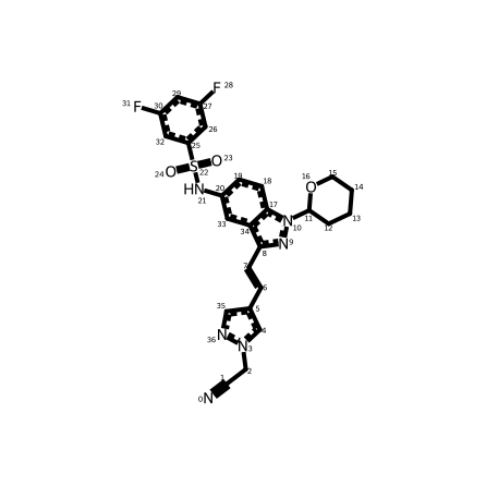 N#CCn1cc(C=Cc2nn(C3CCCCO3)c3ccc(NS(=O)(=O)c4cc(F)cc(F)c4)cc23)cn1